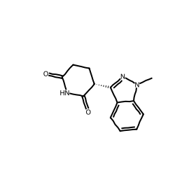 Cn1nc([C@H]2CCC(=O)NC2=O)c2ccccc21